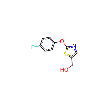 OCc1cnc(Oc2ccc(F)cc2)s1